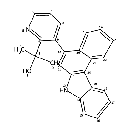 CC(C)(O)c1ncccc1-c1cc2[nH]c3ccccc3c2c2ccccc12